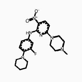 CN1CCN(c2ccc([N+](=O)[O-])c(Nc3ccc(N4CCCCC4)c(F)c3)n2)CC1